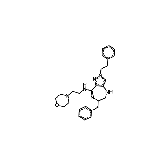 c1ccc(CCn2cc3c(n2)C(NCCN2CCOCC2)=N[C@H](Cc2ccccc2)CN3)cc1